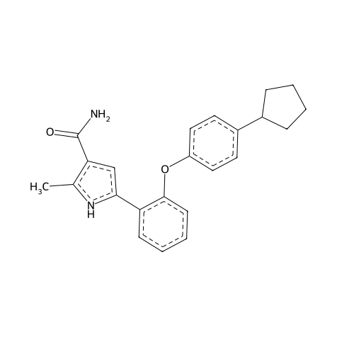 Cc1[nH]c(-c2ccccc2Oc2ccc(C3CCCC3)cc2)cc1C(N)=O